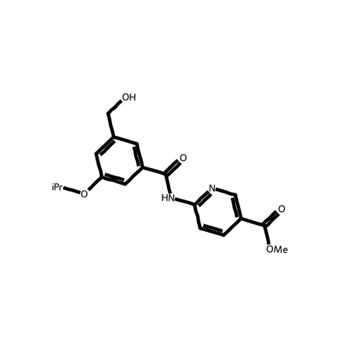 COC(=O)c1ccc(NC(=O)c2cc(CO)cc(OC(C)C)c2)nc1